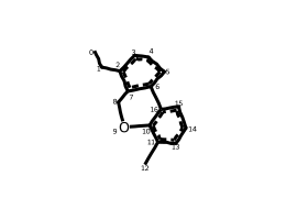 CCc1cccc2c1COc1c(C)cccc1-2